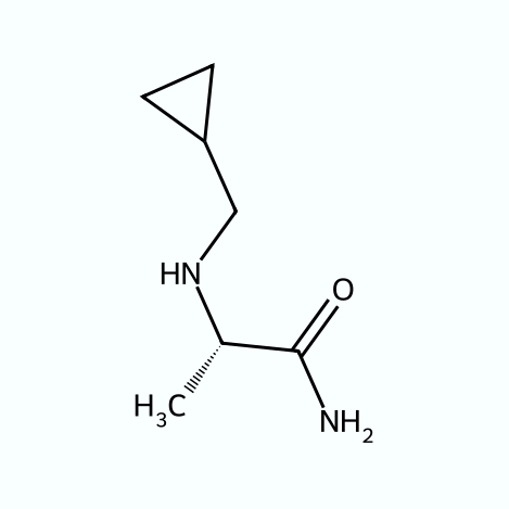 C[C@H](NCC1CC1)C(N)=O